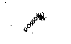 O=C(c1ccc(N2CCN(C3CCC(c4ccccc4)CC3)CC2)cc1)n1n[n+]([O-])c2ccccc21